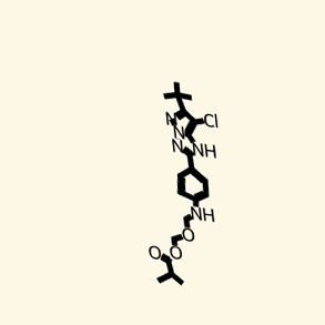 CC(C)C(=O)OCOCNc1ccc(-c2nn3nc(C(C)(C)C)c(Cl)c3[nH]2)cc1